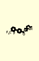 CC1CCC2(CN(C(=O)c3ccc(-c4cccc(C(F)(F)F)c4F)cc3)C2)N1